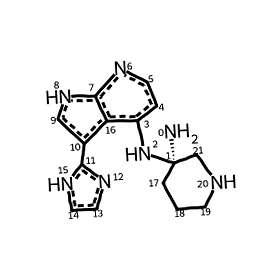 N[C@@]1(Nc2ccnc3[nH]cc(-c4ncc[nH]4)c23)CCCNC1